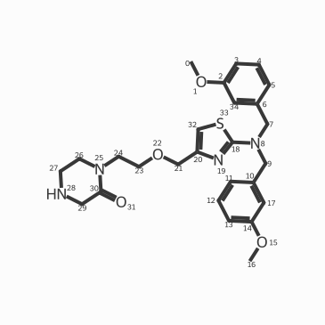 COc1cccc(CN(Cc2cccc(OC)c2)c2nc(COCCN3CCNCC3=O)cs2)c1